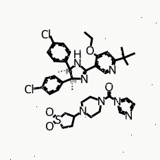 CCOc1cc(C(C)(C)C)ncc1C1=N[C@@](C)(c2ccc(Cl)cc2)[C@@](C)(c2ccc(Cl)cc2)N1.O=C(N1CCN(C2CCS(=O)(=O)C2)CC1)n1ccnc1